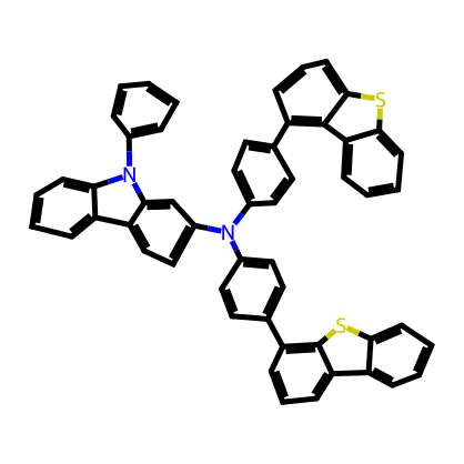 c1ccc(-n2c3ccccc3c3ccc(N(c4ccc(-c5cccc6c5sc5ccccc56)cc4)c4ccc(-c5cccc6sc7ccccc7c56)cc4)cc32)cc1